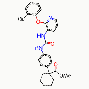 COC(=O)C1(c2ccc(NC(=O)Nc3cccnc3Oc3ccccc3C(C)(C)C)cc2)CCCCC1